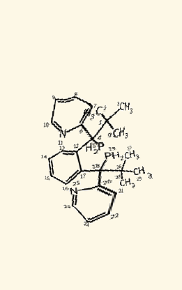 CC(C)(C)C(P)(c1ccccn1)c1ccccc1C(P)(c1ccccn1)C(C)(C)C